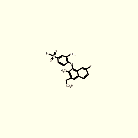 CCS(=O)(=O)c1ccc(Oc2c(C)c(CC(=O)O)cc3ccc(F)cc23)c(C)c1